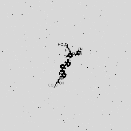 Cc1c(COc2cc(OCc3cncc(C#N)c3)c(CNCCCC(=O)O)cc2Cl)cccc1-c1cccc(-c2cnc3c(CNCC(O)CC(=O)O)cccc3c2)c1C